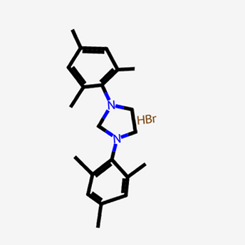 Br.Cc1cc(C)c(N2CCN(c3c(C)cc(C)cc3C)C2)c(C)c1